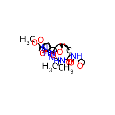 COC(=O)c1coc(-c2nc3oc2C24c5ccccc5NC2Oc2ccc(cc24)C[C@H](NC(=O)[C@@H]2CCCO2)C(=O)N[C@H]3C(C)C)n1